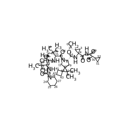 C=C[C@@H]1C[C@]1(NC(=O)[C@@H]1C[C@@]2(CN1C(=O)[C@@H](NC(=O)[C@@H](NC(=O)N1CCCCC1)C(C)(C)C)C(C)(C)C)C(C)(C)C21CCC1)C(=O)NS(=O)(=O)C1CC1